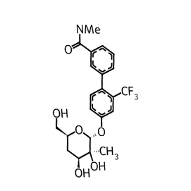 CNC(=O)c1cccc(-c2ccc(O[C@H]3O[C@H](CO)C[C@H](O)[C@]3(C)O)cc2C(F)(F)F)c1